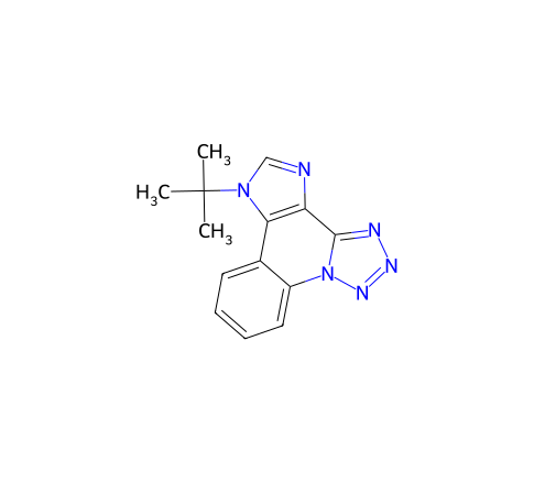 CC(C)(C)n1cnc2c1c1ccccc1n1nnnc21